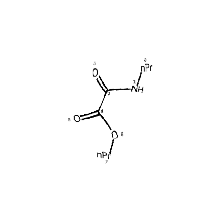 CCCNC(=O)C(=O)OCCC